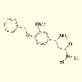 CCN(CC)C(=O)CC(N)c1ccc(OCc2ccccc2)c(OC)c1